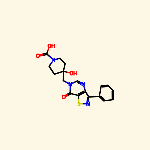 O=C(O)N1CCC(O)(Cn2cnc3c(-c4ccccc4)nsc3c2=O)CC1